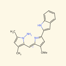 COC1=CC(c2cc3ccccc3[nH]2)=N/C1=C\c1c(C)cc(C)n1N